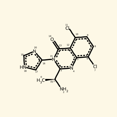 C[C@H](N)c1nc2c(Cl)ccc(Cl)c2c(=O)n1-c1c[nH]cn1